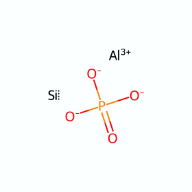 O=P([O-])([O-])[O-].[Al+3].[Si]